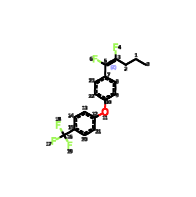 CCC/C(F)=C(/F)c1ccc(Oc2ccc(C(F)(F)F)cc2)cc1